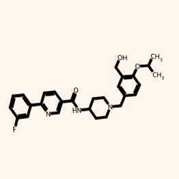 CC(C)Oc1ccc(CN2CCC(NC(=O)c3ccc(-c4cccc(F)c4)nc3)CC2)cc1CO